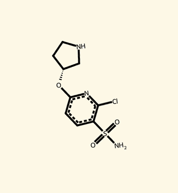 NS(=O)(=O)c1ccc(O[C@@H]2CCNC2)nc1Cl